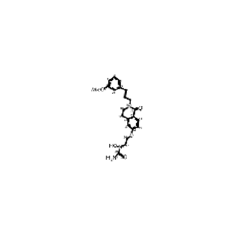 COc1cccc(CCCN2CCc3cc(OCCN(O)C(N)=O)ccc3C2=O)c1